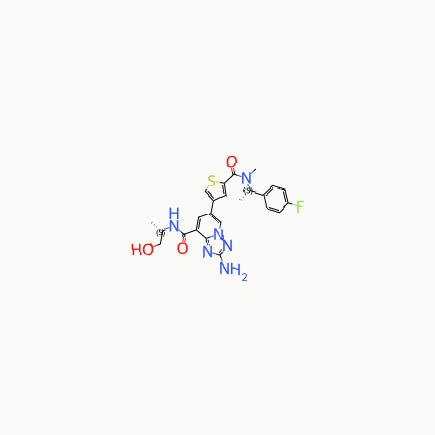 C[C@@H](CO)NC(=O)c1cc(-c2csc(C(=O)N(C)[C@@H](C)c3ccc(F)cc3)c2)cn2nc(N)nc12